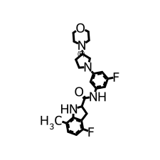 Cc1ccc(F)c2c1NC(C(=O)Nc1cc(F)cc(N3CC[C@@H](N4CCOCC4)C3)c1)C2